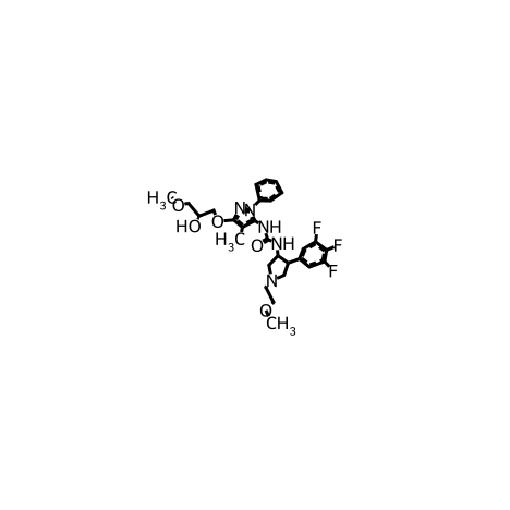 COCCN1CC(NC(=O)Nc2c(C)c(OC[C@@H](O)COC)nn2-c2ccccc2)C(c2cc(F)c(F)c(F)c2)C1